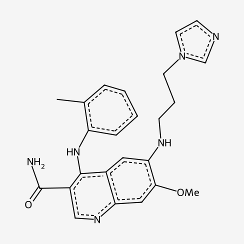 COc1cc2ncc(C(N)=O)c(Nc3ccccc3C)c2cc1NCCCn1ccnc1